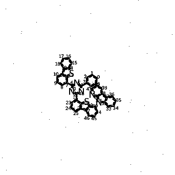 c1ccc(-c2nc(-c3cccc4c3sc3ccccc34)nc(-c3cccc4c3sc3c(-n5c6ccccc6c6cccnc65)cccc34)n2)cc1